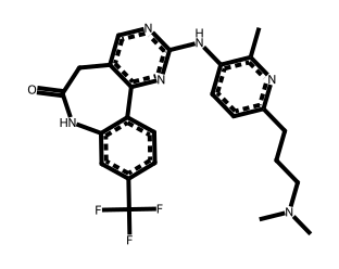 Cc1nc(CCCN(C)C)ccc1Nc1ncc2c(n1)-c1ccc(C(F)(F)F)cc1NC(=O)C2